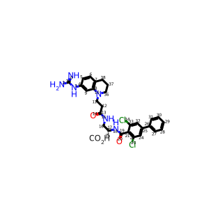 N=C(N)Nc1ccc2c(c1)N(CCC(=O)NC[C@H](NC(=O)c1c(Cl)cc(-c3ccccc3)cc1Cl)C(=O)O)CCC2